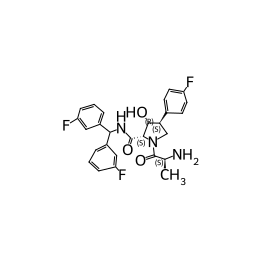 C[C@H](N)C(=O)N1C[C@H](c2ccc(F)cc2)[C@@H](O)[C@H]1C(=O)NC(c1cccc(F)c1)c1cccc(F)c1